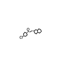 O=C(/C=C/c1ccc2ccccc2c1)c1ccc(Cl)cc1